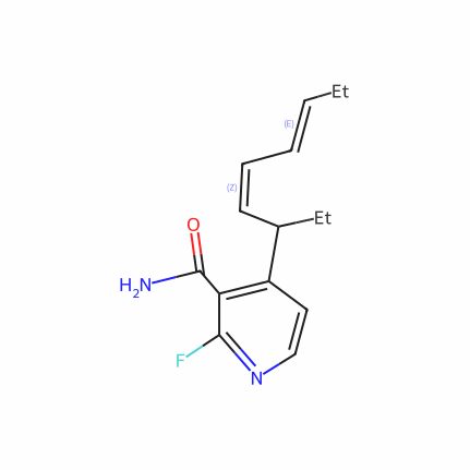 CC/C=C/C=C\C(CC)c1ccnc(F)c1C(N)=O